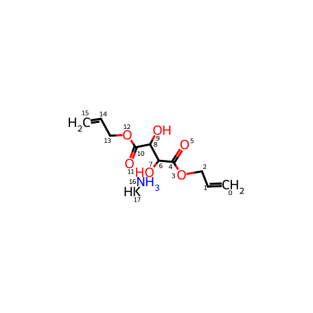 C=CCOC(=O)C(O)C(O)C(=O)OCC=C.N.[KH]